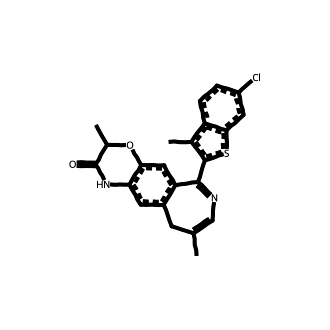 CC1=CN=C(c2sc3cc(Cl)ccc3c2C)c2cc3c(cc2C1)NC(=O)C(C)O3